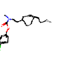 CNCCC1CCC(CCN(C)C(=O)Oc2ccc(Cl)cc2)CC1